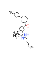 Cc1ccc(C(=O)C2CCCCC(c3ccc(C#N)cc3)CC2)cc1-c1[nH]c(CCCCC(C)C)nc1C